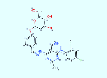 Cc1nc(N/N=C\c2ccc(OC3CC(O)C(O)C(CO)O3)cc2)c(C=N)c(Nc2ccc(F)cc2F)n1